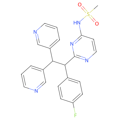 CS(=O)(=O)Nc1ccnc(C(c2ccc(F)cc2)C(c2cccnc2)c2cccnc2)n1